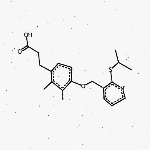 Cc1c(CCC(=O)O)ccc(OCc2cccnc2SC(C)C)c1C